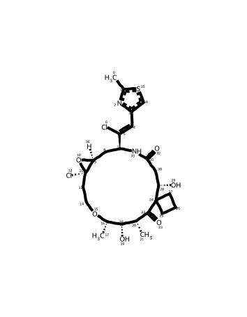 Cc1nc(C=C(Cl)[C@@H]2C[C@@H]3O[C@]3(Cl)CCO[C@@H](C)[C@@H](O)[C@@H](C)C(=O)C3(CCC3)[C@@H](O)CC(=O)N2)cs1